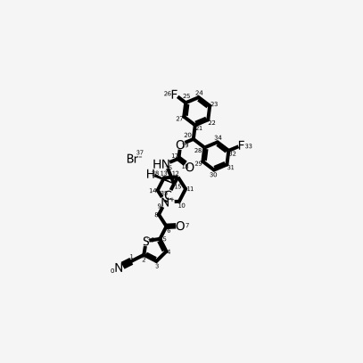 N#Cc1ccc(C(=O)C[N+]23CCC(CC2)[C@@H](NC(=O)OC(c2cccc(F)c2)c2cccc(F)c2)C3)s1.[Br-]